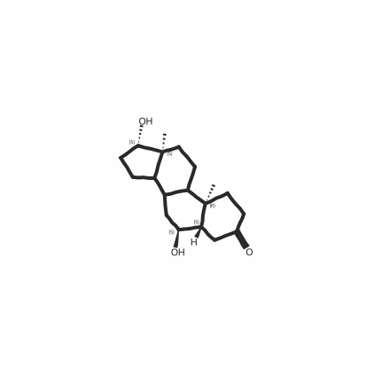 C[C@]12CCC3C(C[C@H](O)[C@H]4CC(=O)CC[C@]34C)C1CC[C@@H]2O